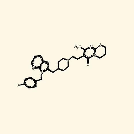 Cc1nc2n(c(=O)c1CCN1CCC(Cc3nc4cccnc4n3Cc3ccc(F)cc3)CC1)CCCS2